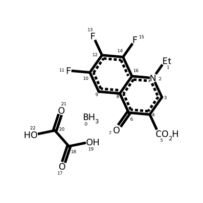 B.CCn1cc(C(=O)O)c(=O)c2cc(F)c(F)c(F)c21.O=C(O)C(=O)O